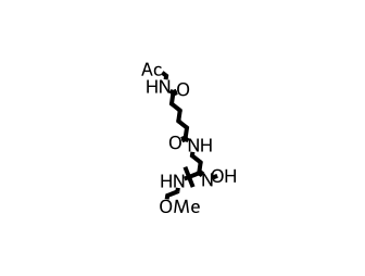 COCCNC(C)(C)/C(CCNC(=O)CCCCC(=O)NCC(C)=O)=N/O